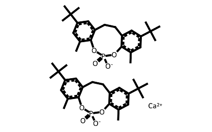 Cc1cc(C(C)(C)C)cc2c1OP(=O)([O-])Oc1c(C)cc(C(C)(C)C)cc1CC2.Cc1cc(C(C)(C)C)cc2c1OP(=O)([O-])Oc1c(C)cc(C(C)(C)C)cc1CC2.[Ca+2]